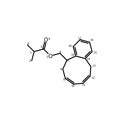 CC(C)C(=O)OCC1C/C=C\C=C/Cc2ccccc21